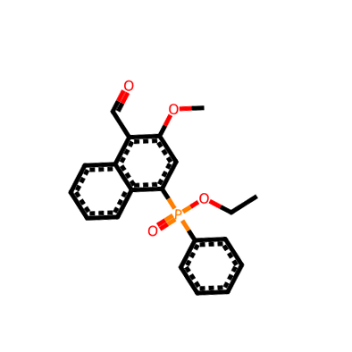 CCOP(=O)(c1ccccc1)c1cc(OC)c(C=O)c2ccccc12